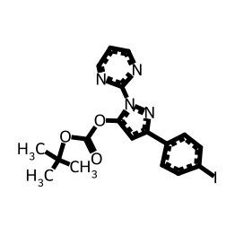 CC(C)(C)OC(=O)Oc1cc(-c2ccc(I)cc2)nn1-c1ncccn1